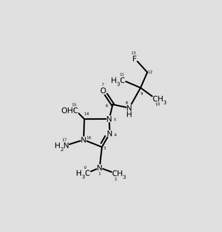 CN(C)C1=NN(C(=O)NC(C)(C)CF)C(C=O)N1N